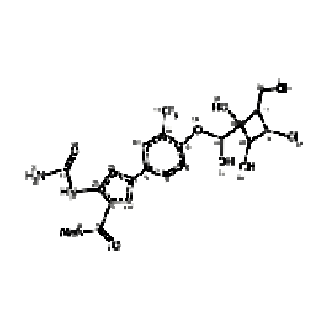 CNC(=O)c1sc(-c2ccc(OC(O)C3(O)C(O)C(O)C3CO)c(C(F)(F)F)c2)cc1NC(N)=O